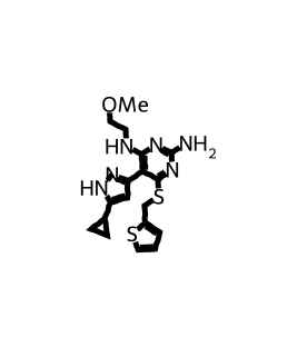 COCCNc1nc(N)nc(SCc2cccs2)c1-c1cc(C2CC2)[nH]n1